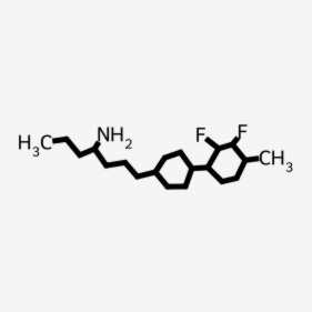 CCCC(N)CCCC1CCC(C2CCC(C)C(F)C2F)CC1